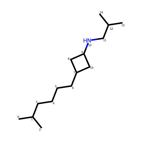 CC(C)CCCCC1CC(NCC(C)C)C1